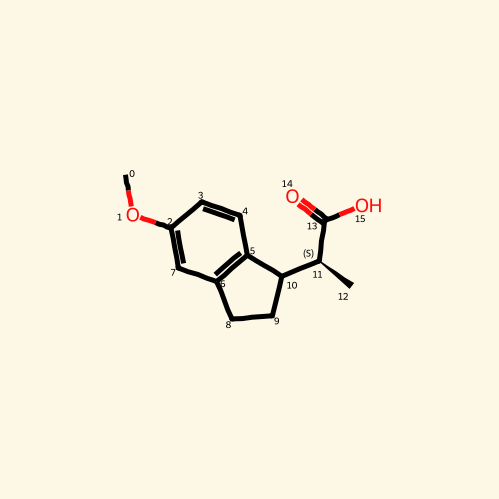 COc1ccc2c(c1)CCC2[C@H](C)C(=O)O